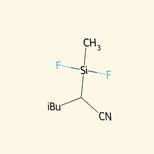 CCC(C)C(C#N)[Si](C)(F)F